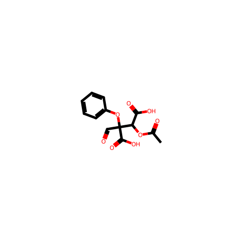 CC(=O)OC(C(=O)O)C(C=O)(Oc1ccccc1)C(=O)O